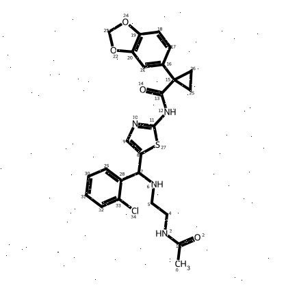 CC(=O)NCCNC(c1cnc(NC(=O)C2(c3ccc4c(c3)OCO4)CC2)s1)c1ccccc1Cl